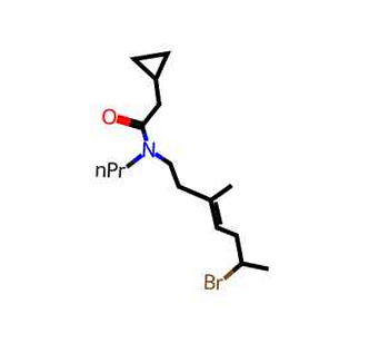 CCCN(CC/C(C)=C/CC(C)Br)C(=O)CC1CC1